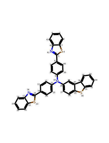 c1ccc2sc(-c3ccc(N(c4ccc(-c5nc6ccccc6s5)cc4)c4ccc5sc6ccccc6c5c4)cc3)nc2c1